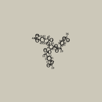 C=C(C(=O)Oc1cc(OC(=O)C(=C)c2ccc(OC(C)=O)cc2)cc(OC(=O)C(=C)c2ccc(OC(C)=O)cc2)c1)c1ccc(OC(C)=O)cc1